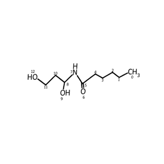 CCCCCC(=O)NC(O)CCO